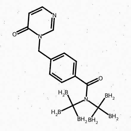 BC(B)(B)N(C(=O)c1ccc(Cn2cnccc2=O)cc1)C(B)(B)B